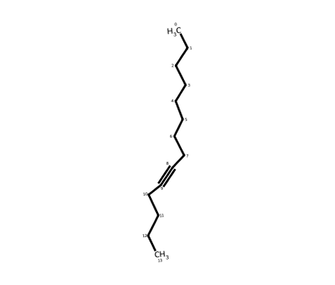 C[CH]CCCCCCC#CCCCC